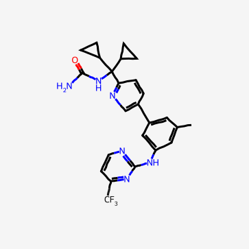 Cc1cc(Nc2nccc(C(F)(F)F)n2)cc(-c2ccc(C(NC(N)=O)(C3CC3)C3CC3)nc2)c1